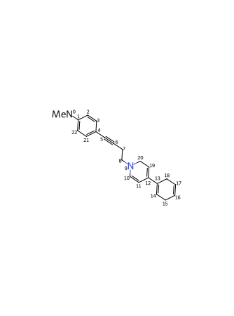 CNc1ccc(C#CCCN2C=CC(C3=CCC=CC3)=CC2)cc1